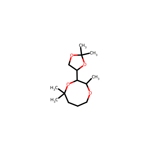 CC1OCCCC(C)(C)OC1C1COC(C)(C)O1